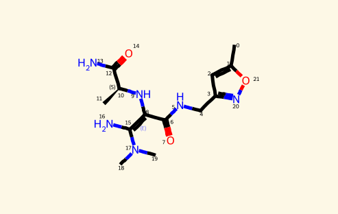 Cc1cc(CNC(=O)/C(N[C@@H](C)C(N)=O)=C(/N)N(C)C)no1